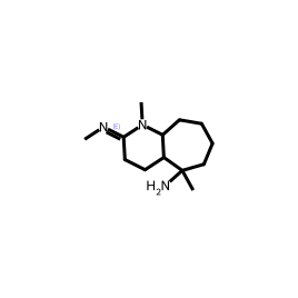 C/N=C1\CCC2C(CCCCC2(C)N)N1C